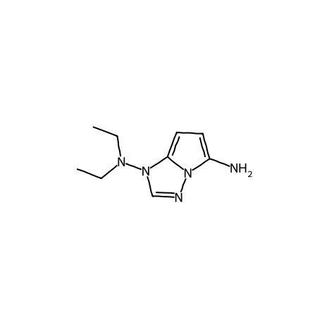 CCN(CC)n1cnn2c(N)ccc12